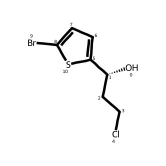 O[C@H](CCCl)c1ccc(Br)s1